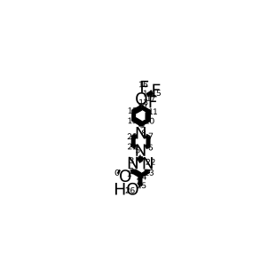 COc1nc(N2CCN(c3ccc(OC(F)(F)F)cc3)CC2)ncc1CO